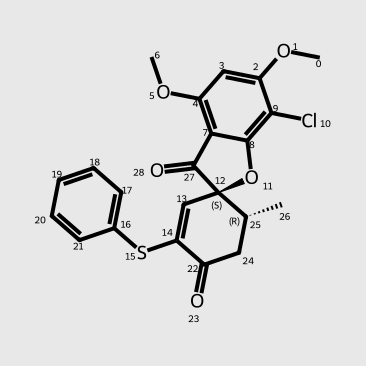 COc1cc(OC)c2c(c1Cl)O[C@@]1(C=C(Sc3ccccc3)C(=O)C[C@H]1C)C2=O